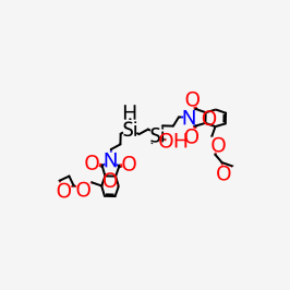 C[SiH](CCCN1C(=O)C2C3C=CC(COC4CCO4)(O3)C2C1=O)CC[Si](C)(O)CCCN1C(=O)C2C3C=CC(COCC4CO4)(O3)C2C1=O